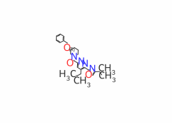 CC(C)Cc1cc(C(=O)N2CCC[C@@H](OCc3ccccc3)C2)nnc1-c1nc(C(C)C)co1